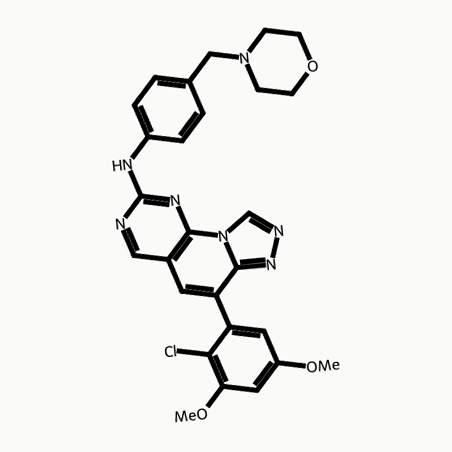 COc1cc(OC)c(Cl)c(-c2cc3cnc(Nc4ccc(CN5CCOCC5)cc4)nc3n3cnnc23)c1